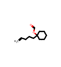 C=CCCCC1(OC=O)CCCCC1